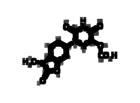 Cn1c(=O)oc2cc(-n3nc(OC(=O)O)c(=O)[nH]c3=O)ccc21